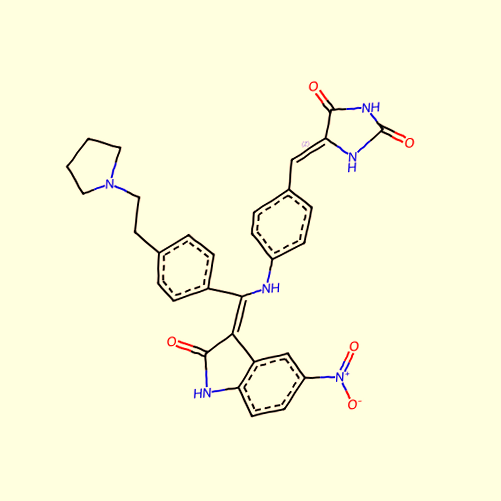 O=C1NC(=O)/C(=C/c2ccc(NC(=C3C(=O)Nc4ccc([N+](=O)[O-])cc43)c3ccc(CCN4CCCC4)cc3)cc2)N1